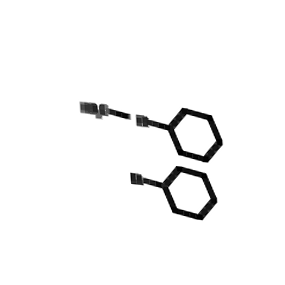 CC(=O)O.[CH2]CC1CCCCC1.[CH2]CC1CCCCC1